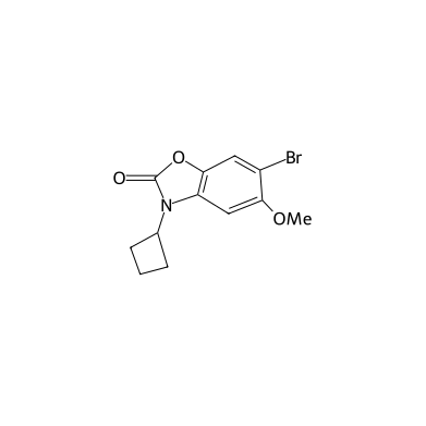 COc1cc2c(cc1Br)oc(=O)n2C1CCC1